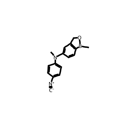 [C-]#[N+]c1ccc(N(C)c2ccc3c(c2)COB3C)cc1